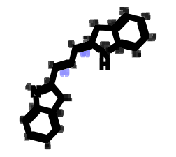 C(/C=C/C1=Nc2ccccc2C1)=C1\Cc2ccccc2N1